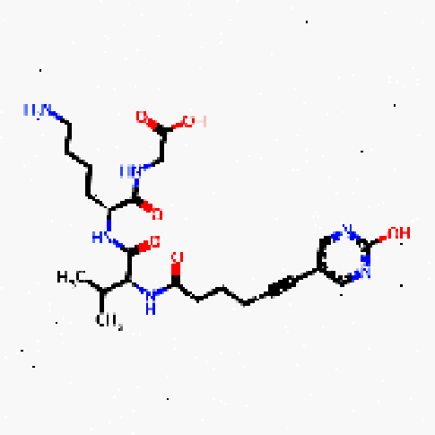 CC(C)[C@H](NC(=O)CCCC#Cc1cnc(O)nc1)C(=O)N[C@@H](CCCCN)C(=O)NCC(=O)O